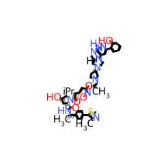 Cc1ncsc1-c1ccc([C@H](C)NC(=O)[C@@H]2C[C@@H](O)CN2C(=O)[C@@H](c2cc(O[C@@H](C)CN3CC[C@H](N4CCN5c6cc(-c7ccccc7O)nnc6NC[C@H]5C4)C3)no2)C(C)C)cc1